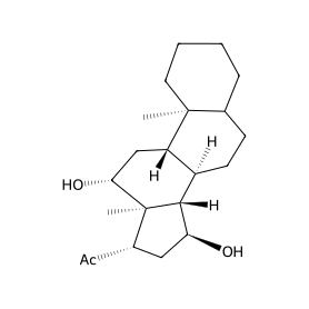 CC(=O)[C@H]1C[C@H](O)[C@H]2[C@@H]3CCC4CCCC[C@]4(C)[C@H]3C[C@@H](O)[C@@]21C